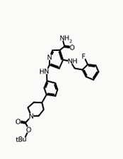 CC(C)(C)OC(=O)N1CCC(c2cccc(Nc3cc(NCc4ccccc4F)c(C(N)=O)cn3)c2)CC1